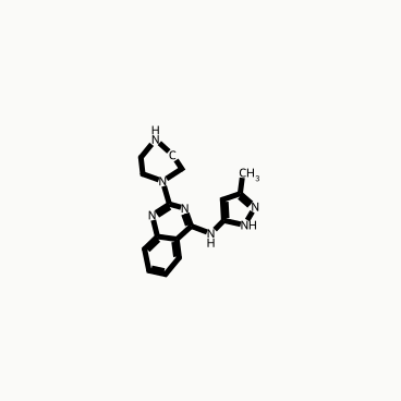 Cc1cc(Nc2nc(N3CCNCC3)nc3ccccc23)[nH]n1